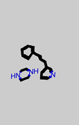 C(=Cc1ccccc1)Cc1cccnc1.C1CNCCN1